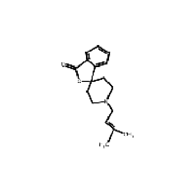 CC(C)=CCN1CCC2(CC1)OC(=O)c1ccccc12